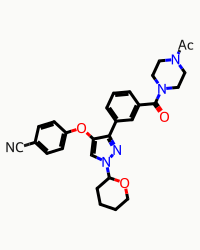 CC(=O)N1CCN(C(=O)c2cccc(-c3nn(C4CCCCO4)cc3Oc3ccc(C#N)cc3)c2)CC1